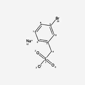 O=S(=O)([O-])Cc1cccc(Br)c1.[Na+]